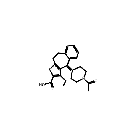 CCc1c(C(=O)O)sc2c1C(=C1CCN(C(C)=O)CC1)c1ccccc1CC2